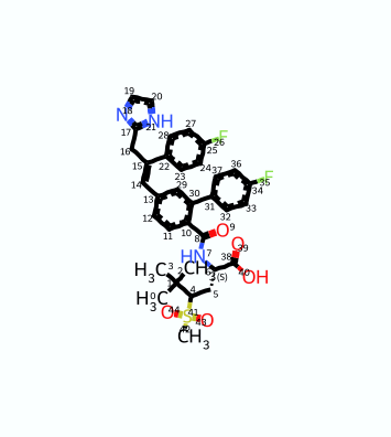 CC(C)(C)C(C[C@H](NC(=O)c1ccc(C=C(Cc2ncc[nH]2)c2ccc(F)cc2)cc1-c1ccc(F)cc1)C(=O)O)S(C)(=O)=O